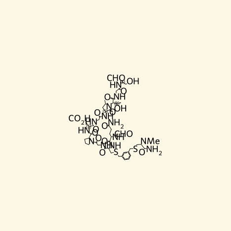 CNC(CSCc1cccc(CSCC(NC(=O)C(CCC(N)=O)NC=O)C(=O)NCC(=O)N2CCCC2C(=O)N[C@@H](CC(=O)O)C(=O)NCC(=O)N[C@H]2CC(C)N(C(C(=O)NCC(=O)N[C@H](C=O)CO)[C@@H](C)O)C2=O)c1)C(N)=O